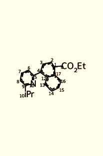 CCOC(=O)c1ccc(-c2cccc(C(C)C)n2)c2ccccc12